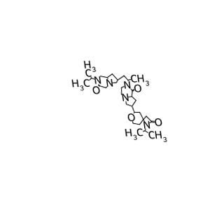 CC(C)N1CC2CC(CC(C)N3CCN4CC(C5CC6(CCO5)CC(=O)N6C(C)C)CC4C3=O)CN2CC1=O